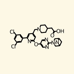 CN1C2CC1CN(c1ncc(Oc3cc(CN4CCC(CC(=O)O)CC4)cc(-c4cc(Cl)cc(Cl)c4)n3)cn1)C2